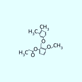 CCOc1cccc(OC(=O)CC)c1COc1ccc(C)c(C)c1